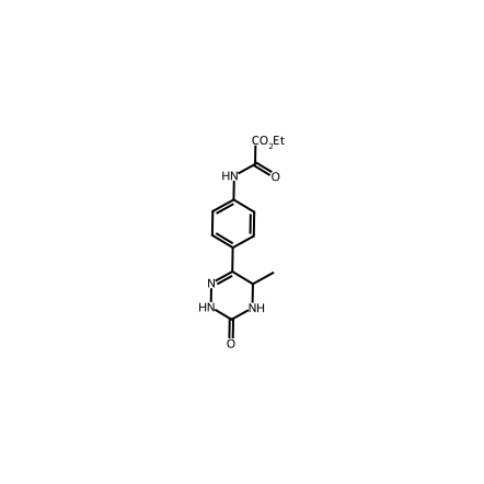 CCOC(=O)C(=O)Nc1ccc(C2=NNC(=O)NC2C)cc1